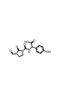 O=CN1CCN(C(=O)NC(C(=O)O)c2ccc(O)cc2)C1=O